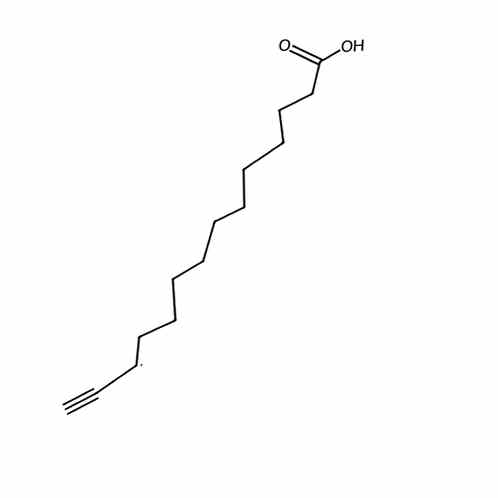 C#C[CH]CCCCCCCCCCC(=O)O